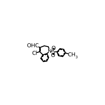 Cc1ccc(S(=O)(=O)N2CCC(C=O)=C(Cl)c3ccccc32)cc1